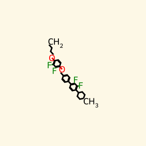 C=CCCCOc1ccc(OCc2ccc(-c3ccc(C4CCC(C)CC4)c(F)c3F)cc2)c(F)c1F